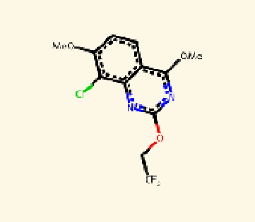 COc1ccc2c(OC)nc(OCC(F)(F)F)nc2c1Cl